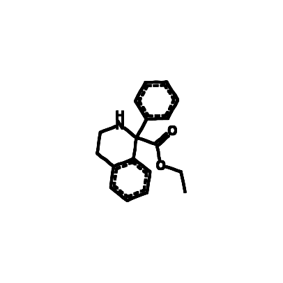 CCOC(=O)C1(c2ccccc2)NCCc2ccccc21